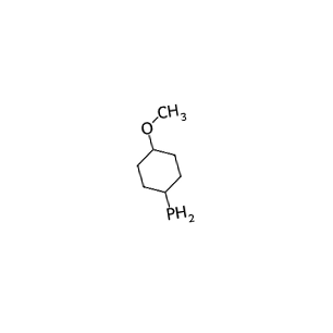 COC1CCC(P)CC1